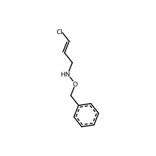 ClC=CCNOCc1ccccc1